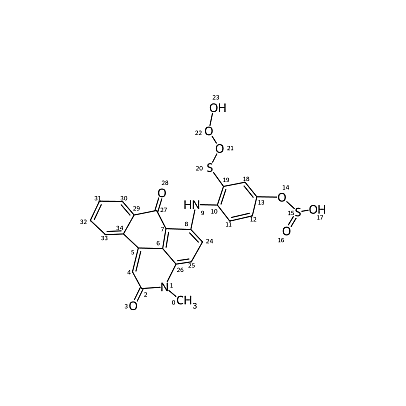 Cn1c(=O)cc2c3c(c(Nc4ccc(OS(=O)O)cc4SOOO)ccc31)C(=O)c1ccccc1-2